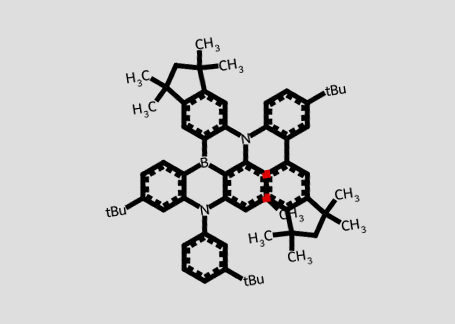 Cc1cc2c3c(c1)N(c1ccc(C(C)(C)C)cc1-c1ccc4c(c1)C(C)(C)CC4(C)C)c1cc4c(cc1B3c1ccc(C(C)(C)C)cc1N2c1cccc(C(C)(C)C)c1)C(C)(C)CC4(C)C